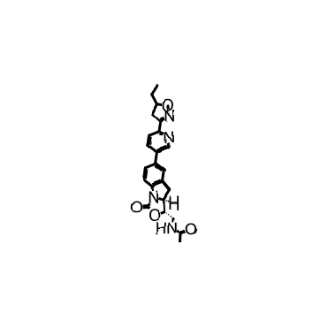 CCC1CC(c2ccc(-c3ccc4c(c3)C[C@H]3[C@H](CNC(C)=O)OC(=O)N43)cn2)=NO1